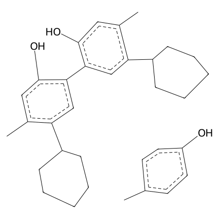 Cc1cc(O)c(-c2cc(C3CCCCC3)c(C)cc2O)cc1C1CCCCC1.Cc1ccc(O)cc1